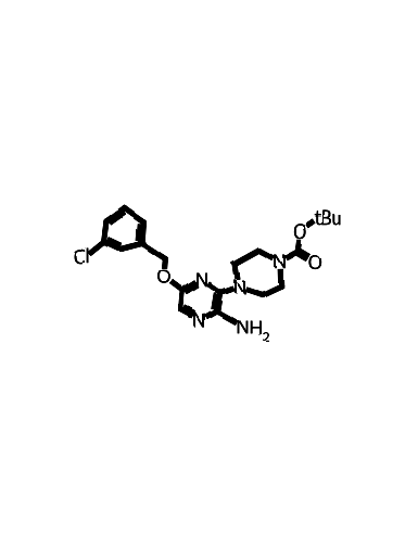 CC(C)(C)OC(=O)N1CCN(c2nc(OCc3cccc(Cl)c3)cnc2N)CC1